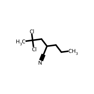 CCCC(C#N)CC(C)(Cl)Cl